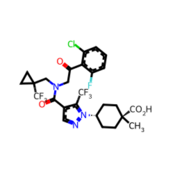 C[C@]1(C(=O)O)CC[C@H](n2ncc(C(=O)N(CC(=O)c3c(F)cccc3Cl)CC3(C(F)(F)F)CC3)c2C(F)(F)F)CC1